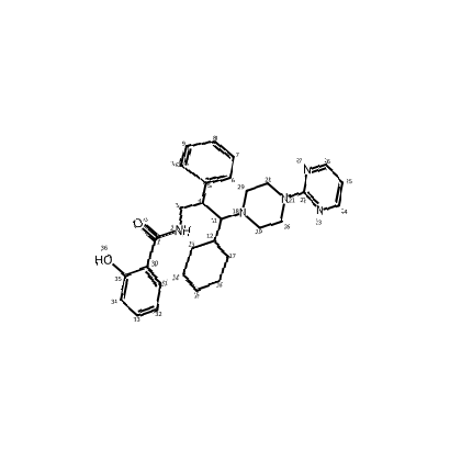 O=C(NCC(c1ccccc1)C(C1CCCCC1)N1CCN(c2ncccn2)CC1)c1ccccc1O